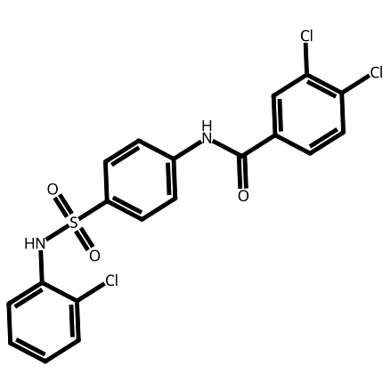 O=C(Nc1ccc(S(=O)(=O)Nc2ccccc2Cl)cc1)c1ccc(Cl)c(Cl)c1